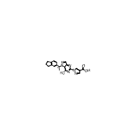 C[C@@H](c1ccc2c(c1)CCC2)n1ncc2nc(-n3cc(C(=O)O)cn3)nc(O)c21